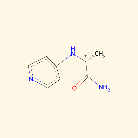 C[C@@H](Nc1ccncc1)C(N)=O